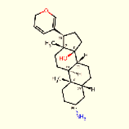 C[C@]12CC[C@@H](N)C[C@H]1CC[C@@H]1[C@@H]2CC[C@]2(C)[C@@H](C3=COCC=C3)CC[C@]12O